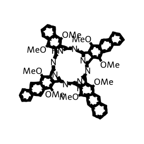 COc1c2c(c(OC)c3cc4ccccc4cc13)-c1nc-2nc2[nH]c(nc3nc(nc4[nH]c(n1)c1c(OC)c5cc6ccccc6cc5c(OC)c41)-c1c-3c(OC)c3cc4ccccc4cc3c1OC)c1c(OC)c3ccccc3c(OC)c21